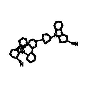 N#Cc1ccc2c(c1)c1ccccc1n2-c1ccc(-c2ccc(C#N)c(-c3ccccc3-n3c4ccccc4c4cccc(C#N)c43)c2)cc1